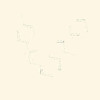 Cc1ccc(S(=O)(=O)Nc2cccc(N(C)C(=O)c3ccccc3)c2)cc1